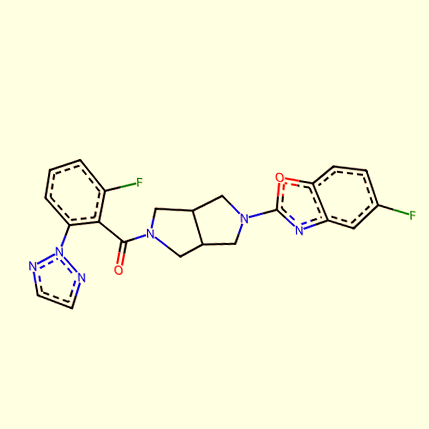 O=C(c1c(F)cccc1-n1nccn1)N1CC2CN(c3nc4cc(F)ccc4o3)CC2C1